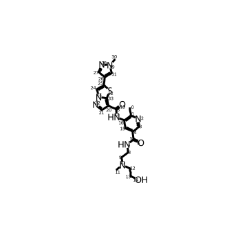 Cc1ncc(C(=O)NCCN(C)CCO)cc1NC(=O)c1cnn2cc(-c3cnn(C)c3)sc12